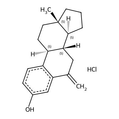 C=C1C[C@@H]2[C@H](CC[C@]3(C)CCC[C@@H]23)c2ccc(O)cc21.Cl